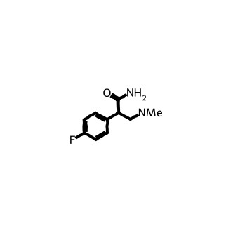 CNCC(C(N)=O)c1ccc(F)cc1